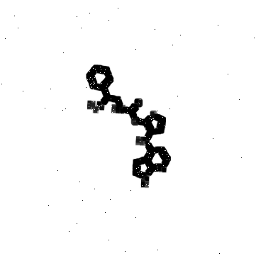 NC(CNC(=O)Oc1sccc1Nc1ccnc2[nH]ccc12)c1ccccc1